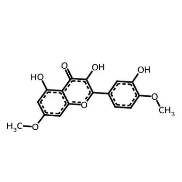 COc1cc(O)c2c(=O)c(O)c(-c3ccc(OC)c(O)c3)oc2c1